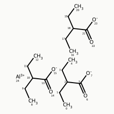 CCC(CC)C(=O)[O-].CCC(CC)C(=O)[O-].CCC(CC)C(=O)[O-].[Al+3]